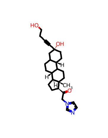 C[C@]12CCC3[C@H]4CC[C@](O)(C#CCCO)CC4CC[C@H]3[C@@H]1CC[C@@H]2C(=O)Cn1ccnc1